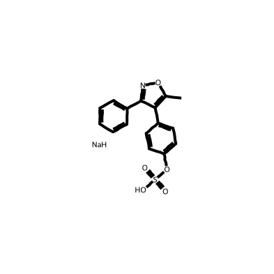 Cc1onc(-c2ccccc2)c1-c1ccc(OS(=O)(=O)O)cc1.[NaH]